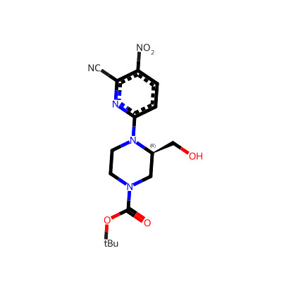 CC(C)(C)OC(=O)N1CCN(c2ccc([N+](=O)[O-])c(C#N)n2)[C@@H](CO)C1